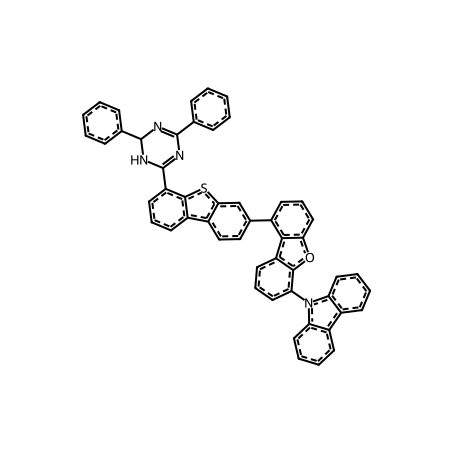 c1ccc(C2=NC(c3ccccc3)NC(c3cccc4c3sc3cc(-c5cccc6oc7c(-n8c9ccccc9c9ccccc98)cccc7c56)ccc34)=N2)cc1